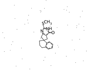 CSc1nc2c(c(=O)[nH]1)CC1(CCCc3ccccc31)C2